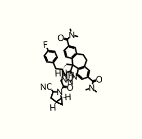 CN(C)C(=O)c1ccc2c(c1)CCc1cc(C(=O)N(C)C)ccc1C2(C[C@@H](Cc1ccc(F)cc1)NCC(=O)N1C(C#N)C[C@@H]2C[C@@H]21)c1nnn[nH]1